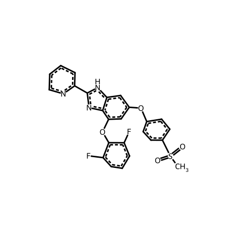 CS(=O)(=O)c1ccc(Oc2cc(Oc3c(F)cccc3F)c3nc(-c4ccccn4)[nH]c3c2)cc1